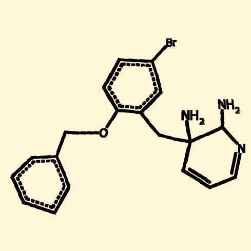 NC1N=CC=CC1(N)Cc1cc(Br)ccc1OCc1ccccc1